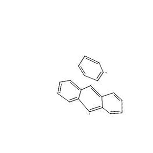 [c]1c2ccccc2cc2ccccc12.[c]1ccccc1